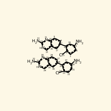 Nc1ccc(Cl)c(-c2ccc3nc(N)ncc3c2)c1.Nc1ccc(Cl)c(-c2ccc3nc(N)ncc3c2)c1